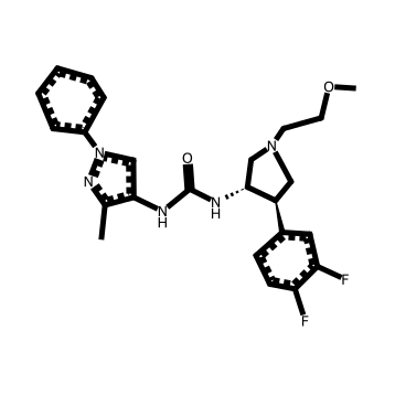 COCCN1C[C@@H](NC(=O)Nc2cn(-c3ccccc3)nc2C)[C@H](c2ccc(F)c(F)c2)C1